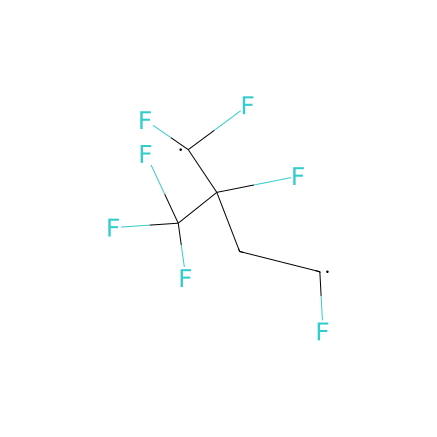 F[CH]CC(F)([C](F)F)C(F)(F)F